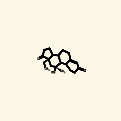 CC[C@]12C[C@](C)(O)C3C4CCC(=O)C=C4CCC3C1CCC2=O